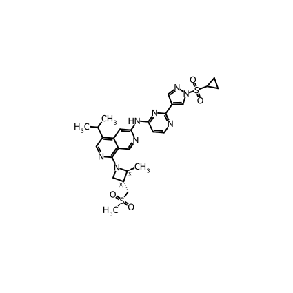 CC(C)c1cnc(N2C[C@@H](CS(C)(=O)=O)[C@@H]2C)c2cnc(Nc3ccnc(-c4cnn(S(=O)(=O)C5CC5)c4)n3)cc12